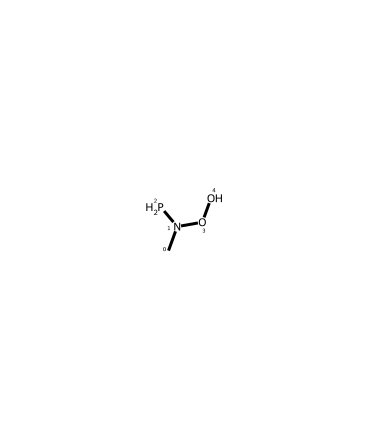 CN(P)OO